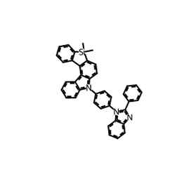 C[Si]1(C)c2ccccc2-c2c1ccc1c2c2ccccc2n1-c1ccc(-n2c(-c3ccccc3)nc3ccccc32)cc1